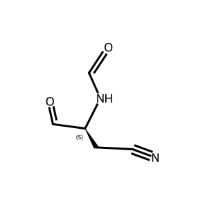 N#CC[C@@H](C=O)NC=O